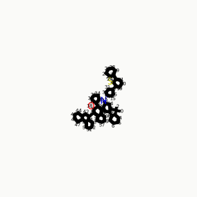 CC1(C)c2ccccc2-c2ccc(N(c3ccc(-c4cccc5c4sc4ccccc45)cc3)c3cccc4oc5c(-c6cc7ccccc7c7ccccc67)c6ccccc6cc5c34)cc21